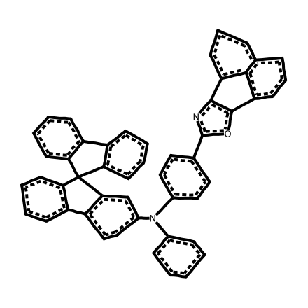 c1ccc(N(c2ccc(-c3nc4c(o3)-c3cccc5cccc-4c35)cc2)c2ccc3c(c2)C2(c4ccccc4-c4ccccc42)c2ccccc2-3)cc1